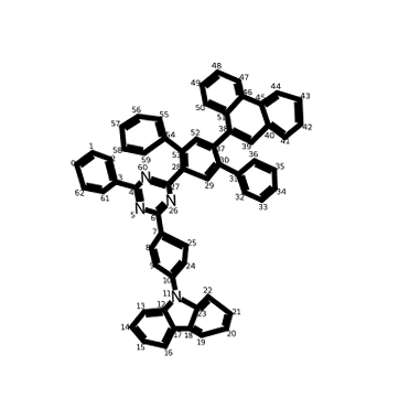 c1ccc(-c2nc(-c3ccc(-n4c5ccccc5c5ccccc54)cc3)nc(-c3cc(-c4ccccc4)c(-c4cc5ccccc5c5ccccc45)cc3-c3ccccc3)n2)cc1